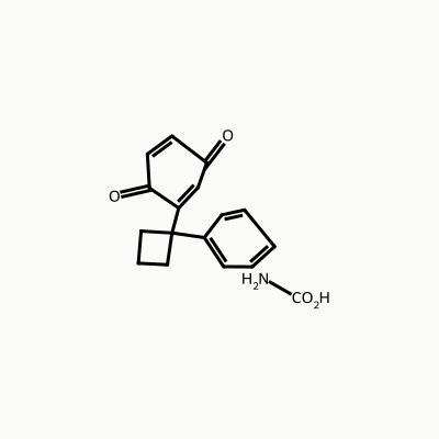 NC(=O)O.O=C1C=CC(=O)C(C2(c3ccccc3)CCC2)=C1